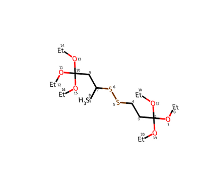 CCOC(CCSSC([SiH3])CC(OCC)(OCC)OCC)(OCC)OCC